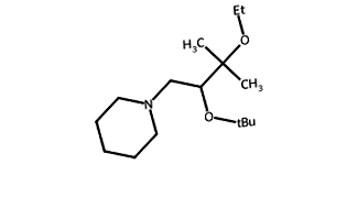 CCOC(C)(C)C(CN1CCCCC1)OC(C)(C)C